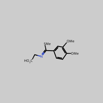 COc1ccc(C(=NCC(=O)O)SC)cc1OC